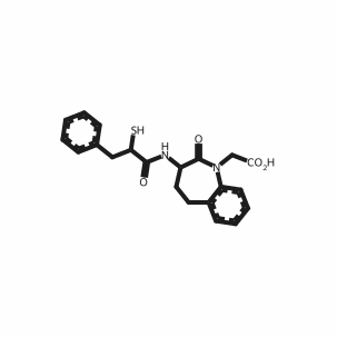 O=C(O)CN1C(=O)C(NC(=O)C(S)Cc2ccccc2)CCc2ccccc21